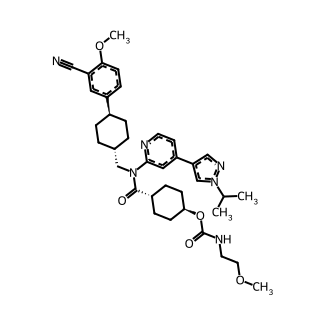 COCCNC(=O)O[C@H]1CC[C@H](C(=O)N(C[C@H]2CC[C@H](c3ccc(OC)c(C#N)c3)CC2)c2cc(-c3cnn(C(C)C)c3)ccn2)CC1